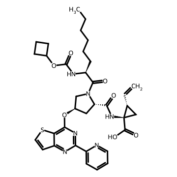 C=C[C@@H]1C[C@]1(NC(=O)[C@@H]1C[C@@H](Oc2nc(-c3ccccn3)nc3ccsc23)CN1C(=O)[C@H](CCCCCC)NC(=O)OC1CCC1)C(=O)O